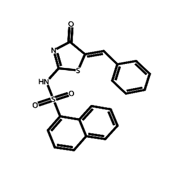 O=C1N=C(NS(=O)(=O)c2cccc3ccccc23)S/C1=C\c1ccccc1